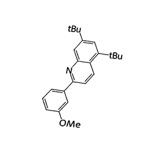 COc1cccc(-c2ccc3c(C(C)(C)C)cc(C(C)(C)C)cc3n2)c1